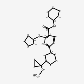 O=C(O)OC1(C2CCCN(c3ccc(C(=O)NC4CCCCC4)c(SC4CCCC4)n3)C2)CC1